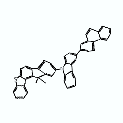 CC1(C)c2cc(-n3c4ccccc4c4cc(-c5ccc6c(ccc7ccccc76)c5)ccc43)ccc2-c2ccc3sc4ccccc4c3c21